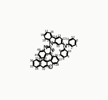 c1ccc(N(c2ccccc2)c2ccc3c4ccccc4n(-c4nc(-c5cccc6oc7cc8ccccc8cc7c56)c5ccccc5n4)c3c2)cc1